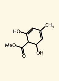 COC(=O)C1C(O)=CC(C)=CC1O